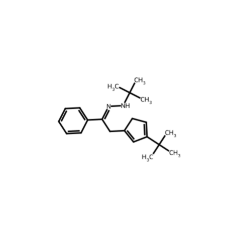 CC(C)(C)NN=C(CC1=CC(C(C)(C)C)=CC1)c1ccccc1